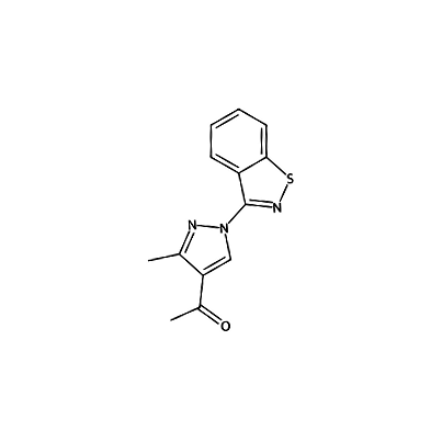 CC(=O)c1cn(-c2nsc3ccccc23)nc1C